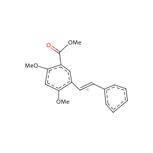 COC(=O)c1cc(/C=C/c2ccccc2)c(OC)cc1OC